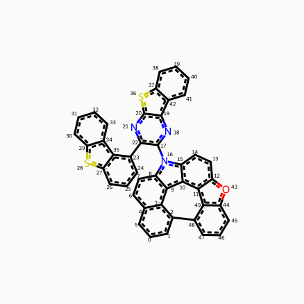 c1cc2c3c(c1)ccc1c3c3c4c(ccc3n1-c1nc3c(nc1-c1cccc5sc6ccccc6c15)sc1ccccc13)oc1cccc-2c14